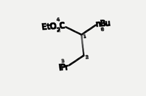 CCCCC(CC(C)C)C(=O)OCC